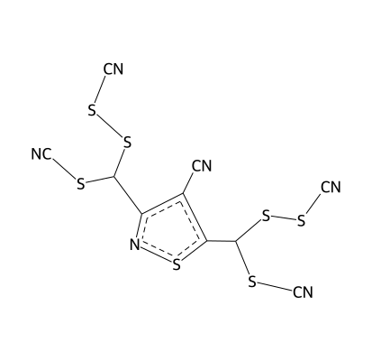 N#CSSC(SC#N)c1nsc(C(SC#N)SSC#N)c1C#N